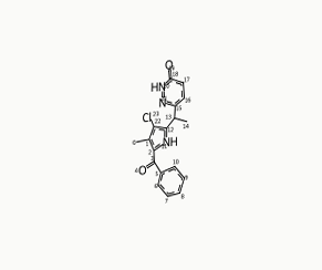 Cc1c(C(=O)c2ccccc2)[nH]c(C(C)c2ccc(=O)[nH]n2)c1Cl